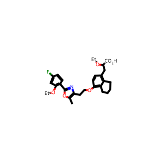 CCOc1cc(F)ccc1-c1nc(CCOc2ccc(CC(OCC)C(=O)O)c3c2CCCC3)c(C)o1